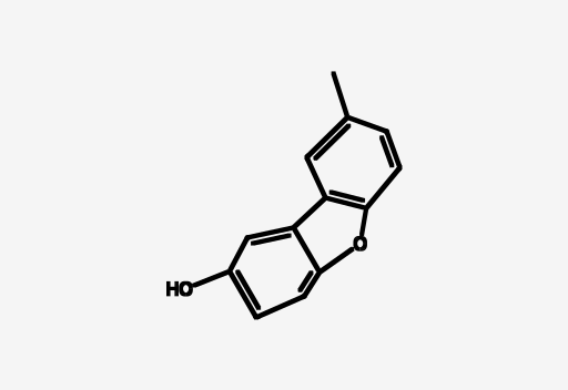 Cc1ccc2oc3ccc(O)cc3c2c1